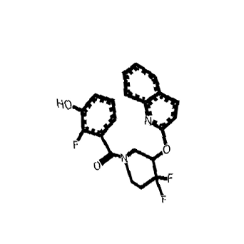 O=C(c1cccc(O)c1F)N1CCC(F)(F)C(Oc2ccc3ccccc3n2)C1